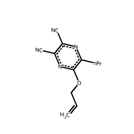 C=CCOc1nc(C#N)c(C#N)nc1CCC